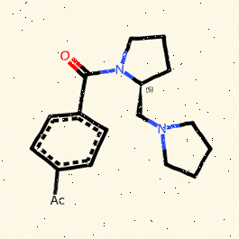 CC(=O)c1ccc(C(=O)N2CCC[C@H]2CN2CCCC2)cc1